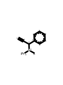 C#CC(c1ccccc1)N(C)C(C)C